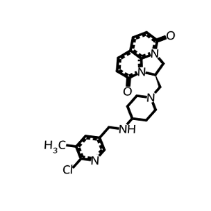 Cc1cc(CNC2CCN(C[C@@H]3Cn4c(=O)ccc5ccc(=O)n3c54)CC2)cnc1Cl